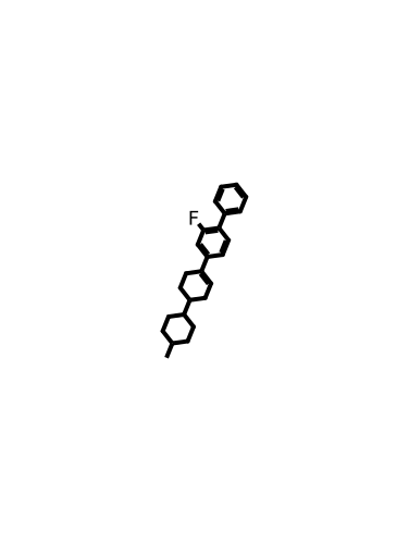 CC1CCC(C2CC=C(c3ccc(-c4ccccc4)c(F)c3)CC2)CC1